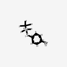 CC(C)(C)[Si](C)(C)Sc1ccc(Br)cc1